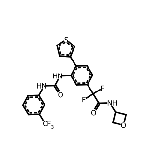 O=C(Nc1cccc(C(F)(F)F)c1)Nc1cc(C(F)(F)C(=O)NC2COC2)ccc1-c1ccsc1